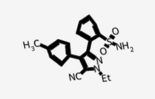 CCn1nc(-c2ccccc2S(N)(=O)=O)c(-c2ccc(C)cc2)c1C#N